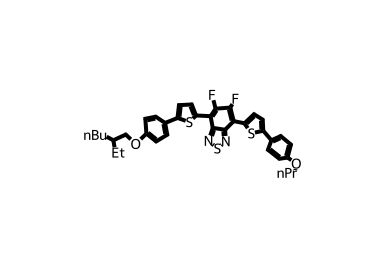 CCCCC(CC)COc1ccc(-c2ccc(-c3c(F)c(F)c(-c4ccc(-c5ccc(OCCC)cc5)s4)c4nsnc34)s2)cc1